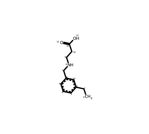 CCc1cccc(CNCCC(=O)O)c1